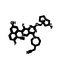 C#Cc1c(F)ccc2cc(O)cc(-c3ncc4c(N5CCCC(CC#N)CC5)nc(OC[C@@]56CCCN5C[C@H](F)C6)nc4c3F)c12